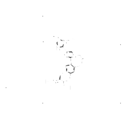 CC(Oc1ccc2c(c1)OCCn1cc(-c3ncnn3C(C)C)nc1-2)C(N)=O